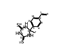 C=Cc1ccc(C2(C)NC(=S)NC(=S)N2)cc1